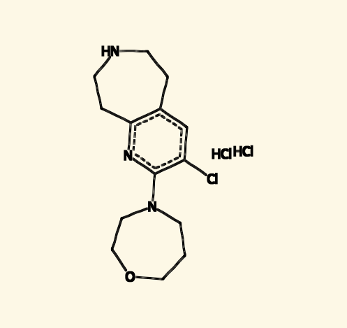 Cl.Cl.Clc1cc2c(nc1N1CCCOCC1)CCNCC2